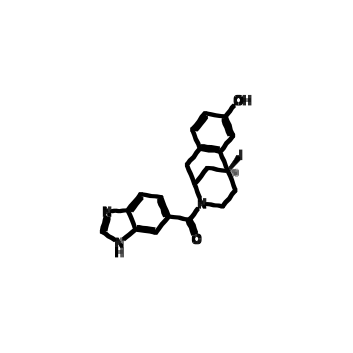 O=C(c1ccc2nc[nH]c2c1)N1CC[C@]2(I)CC1Cc1ccc(O)cc12